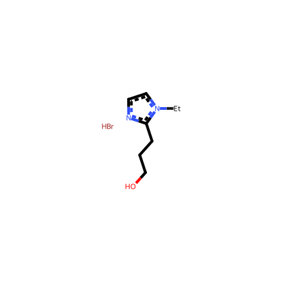 Br.CCn1ccnc1CCCO